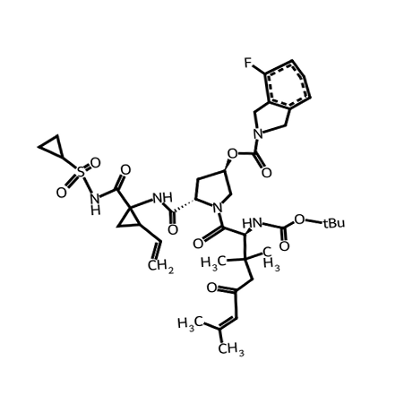 C=CC1CC1(NC(=O)[C@@H]1C[C@@H](OC(=O)N2Cc3cccc(F)c3C2)CN1C(=O)[C@@H](NC(=O)OC(C)(C)C)C(C)(C)CC(=O)C=C(C)C)C(=O)NS(=O)(=O)C1CC1